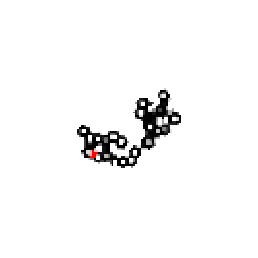 c1ccc(-c2nc(-n3c4c5ccccc5ccc4c4cc5c6cc(-c7ccc8c(ccc9ccc(-c%10nc(-n%11c%12c%13ccccc%13ccc%12c%12cc%13c%14ccccc%14n%14c%15ccccc%15c(c%12%11)c%13%14)c%11ccccc%11n%10)cc98)c7)ccc6n6c7ccccc7c(c43)c56)nc3c2oc2ccccc23)cc1